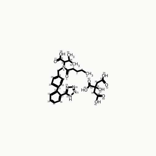 CCCCC(=O)N(Cc1ccc(-c2ccccc2-c2nnn[nH]2)cc1)C(C(=O)O)C(C)C.O=C(O)CC(O)(CC(=O)O)C(=O)O